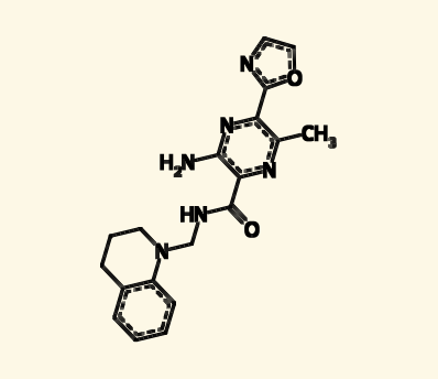 Cc1nc(C(=O)NCN2CCCc3ccccc32)c(N)nc1-c1ncco1